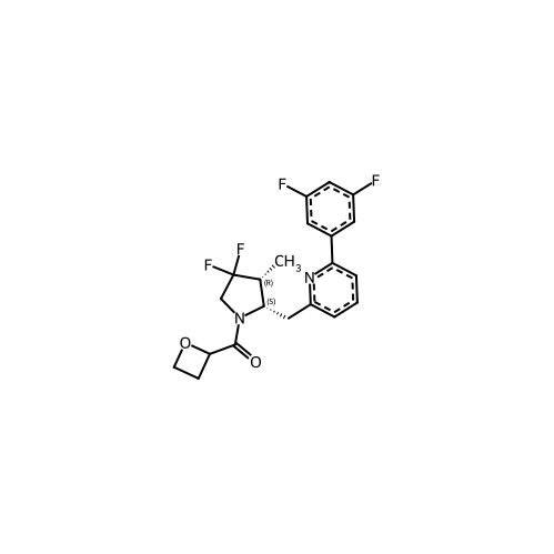 C[C@@H]1[C@H](Cc2cccc(-c3cc(F)cc(F)c3)n2)N(C(=O)C2CCO2)CC1(F)F